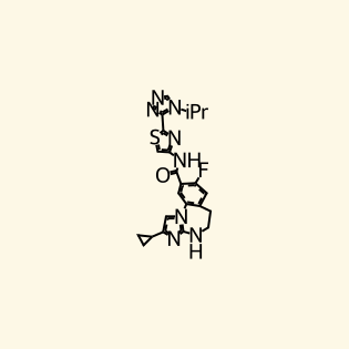 CC(C)n1cnnc1-c1nc(NC(=O)c2cc3c(cc2F)CCNc2nc(C4CC4)cn2-3)cs1